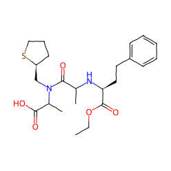 CCOC(=O)[C@H](CCc1ccccc1)NC(C)C(=O)N(C[C@@H]1CCCS1)C(C)C(=O)O